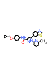 Cc1cccc(-n2nc(C(=O)Nc3ccc(OCC4CC4)cc3)cc2-c2ccc3ncsc3c2)n1